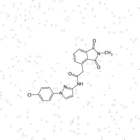 CN1C(=O)c2cccc(CC(=O)Nc3ccn(-c4ccc(Cl)cc4)n3)c2C1=O